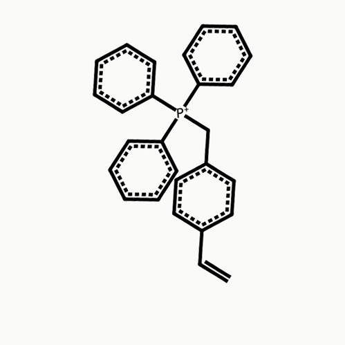 C=Cc1ccc(C[P+](c2ccccc2)(c2ccccc2)c2ccccc2)cc1